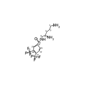 NCCCC(N)CNC(=O)c1ccc(C(F)(F)F)c(C(F)(F)F)c1